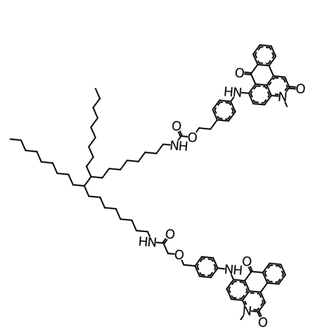 CCCCCCCCCC(CCCCCCCCNC(=O)COCc1ccc(Nc2ccc3c4c(cc(=O)n3C)-c3ccccc3C(=O)c24)cc1)C(CCCCCCCCC)CCCCCCCCNC(=O)OCCc1ccc(Nc2ccc3c4c(cc(=O)n3C)-c3ccccc3C(=O)c24)cc1